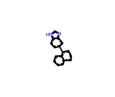 c1ccc2c(-c3ccc4[nH]cnc4c3)cccc2c1